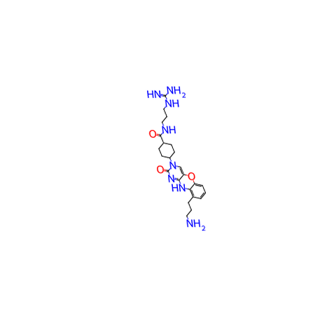 N=C(N)NCCCNC(=O)C1CCC(n2cc3c(nc2=O)Nc2c(CCCN)cccc2O3)CC1